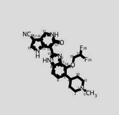 CN1CCC(c2ccc3[nH]c(-c4c(=O)[nH]cc5c(C#N)c[nH]c45)nc3c2OCC(F)F)CC1